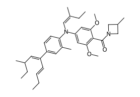 CC/C=C/C(=C\C(C)CC)c1ccc(N(/C=C(/C)CC)c2cc(OC)c(C(=O)N3CC(C)C3)c(OC)c2)c(C)c1